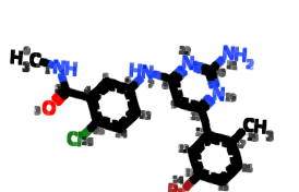 CNC(=O)c1cc(Nc2cc(-c3cc(Br)ccc3C)nc(N)n2)ccc1Cl